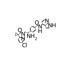 NC(CNC(=O)C1(c2ccc(Cl)cc2)CC1)c1ccc(C(=O)Nc2ccnc3[nH]ccc23)cc1